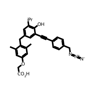 Cc1cc(OCC(=O)O)cc(C)c1Cc1cc(C#Cc2ccc(CN=[N+]=[N-])cc2)c(O)c(C(C)C)c1